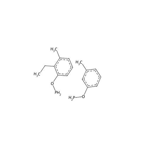 CCc1c(C)cccc1OP.Cc1cccc(OP)c1